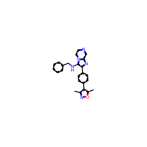 Cc1noc(C)c1-c1ccc(-c2nc3cnccn3c2NCc2ccccc2)cc1